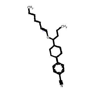 CCCCC/C=C/OC(CCC)C1CCC(c2ccc(C#N)cc2)CC1